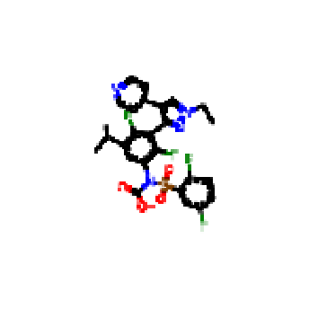 CCn1cc(-c2ccncc2)c(-c2c(F)c(C(C)C)cc(N(C(=O)O)S(=O)(=O)c3cc(F)ccc3F)c2F)n1